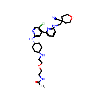 CC(=O)NCCOCCN[C@H]1CC[C@H](Nc2cc(-c3cccc(NCC4(C#N)CCOCC4)n3)c(Cl)cn2)CC1